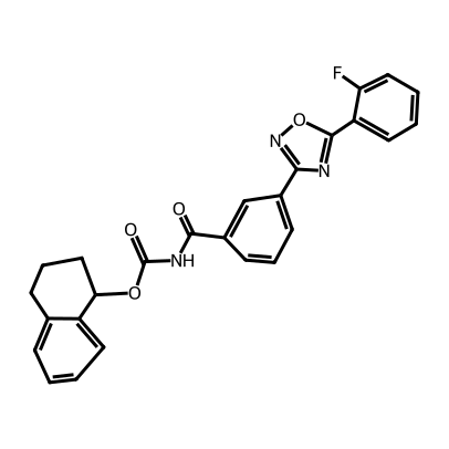 O=C(NC(=O)c1cccc(-c2noc(-c3ccccc3F)n2)c1)OC1CCCc2ccccc21